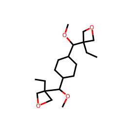 CCC1(C(OC)C2CCC(C(OC)C3(CC)COC3)CC2)COC1